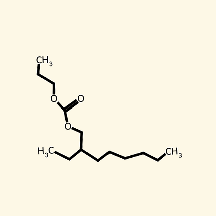 CCCCCCC(CC)COC(=O)OCCC